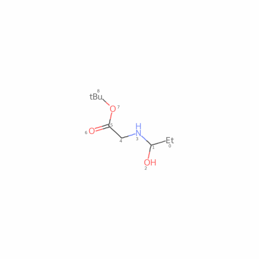 CCC(O)NCC(=O)OC(C)(C)C